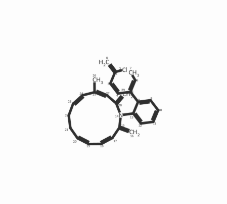 C=C(Cl)/C=C\C(=C/C)c1ccccc1N1C(=C)/C=C\C=C/CC/C=C\C(C)=C/C1=C